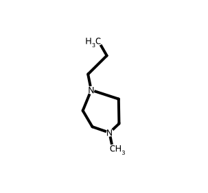 CCCN1CCN(C)CC1